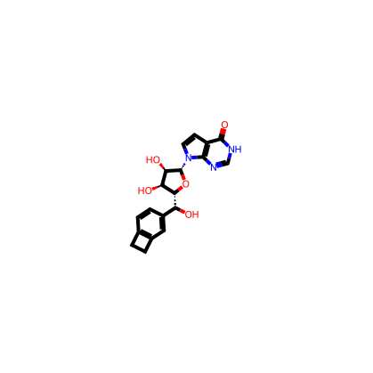 O=c1[nH]cnc2c1ccn2[C@@H]1O[C@H](C(O)c2ccc3c(c2)CC3)[C@@H](O)[C@H]1O